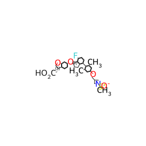 Cc1cc(OCC2CN([S+](C)[O-])C2)cc(C)c1-c1ccc(F)c2c1CC[C@H]2Oc1ccc2c(c1)OC[C@H]2CC(=O)O